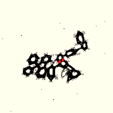 c1ccc(C2(c3ccccc3)c3ccccc3-c3c(N(c4ccc(-c5ccc(-c6cccc7ccccc67)cc5)cc4)c4ccccc4-c4cccc5c4oc4ccccc45)cccc32)cc1